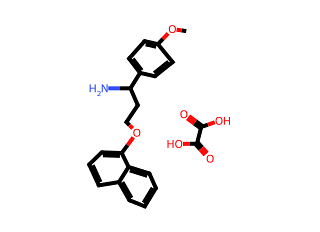 COc1ccc(C(N)CCOc2cccc3ccccc23)cc1.O=C(O)C(=O)O